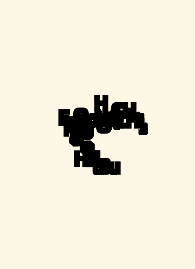 Cc1cc(C(=O)N[C@H]2CC[C@@H](n3c(=O)c4cc(F)cnc4n(-c4cccc(-c5ccc(CNCC(C)(C)C)cc5)c4)c3=O)CC2)nn1C